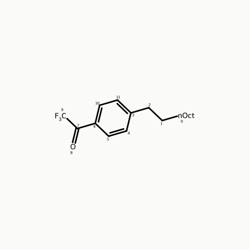 CCCCCCCCCCc1ccc(C(=O)C(F)(F)F)cc1